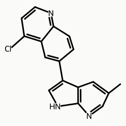 Cc1cnc2[nH]cc(-c3ccc4nccc(Cl)c4c3)c2c1